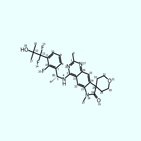 Cc1nc(N[C@H](C)c2cccc(C(F)(F)C(C)(C)O)c2F)c2cc3c(cc2n1)C1(CCOCC1)C(=O)N3C